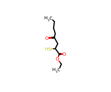 CCCCC(=O)CC(S)C(=O)OCC